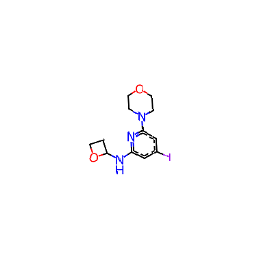 Ic1cc(NC2CCO2)nc(N2CCOCC2)c1